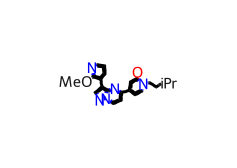 COc1ncccc1-c1cnn2ccc(-c3ccn(CCC(C)C)c(=O)c3)nc12